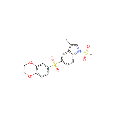 Cc1cn(S(C)(=O)=O)c2ccc(S(=O)(=O)c3ccc4c(c3)OCCO4)cc12